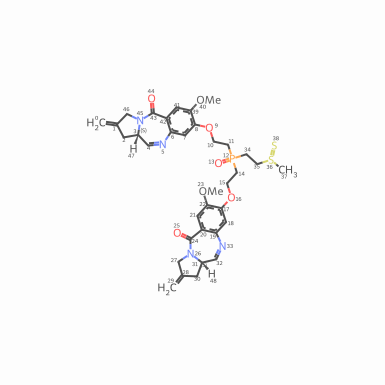 C=C1C[C@H]2C=Nc3cc(OCCP(=O)(CCOc4cc5c(cc4OC)C(=O)N4CC(=C)C[C@H]4C=N5)CCS(C)=S)c(OC)cc3C(=O)N2C1